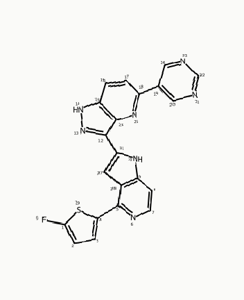 Fc1ccc(-c2nccc3[nH]c(-c4n[nH]c5ccc(-c6cncnc6)nc45)cc23)s1